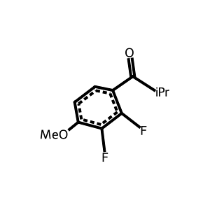 COc1ccc(C(=O)C(C)C)c(F)c1F